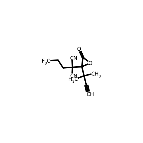 C#CC(C)(C)C1(C(C#N)(C#N)CCC(F)(F)F)OC1=O